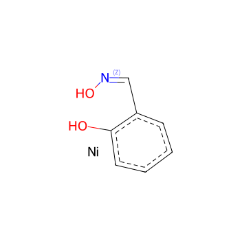 O/N=C\c1ccccc1O.[Ni]